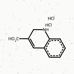 Cl.Cl.O=C(O)C1=Cc2ccccc2NC1